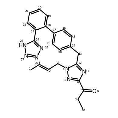 CC=CCn1nc(C(=O)CC)nc1Cc1ccc(-c2ccccc2-c2nnn[nH]2)cc1